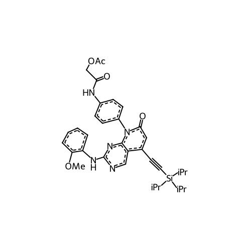 COc1ccccc1Nc1ncc2c(C#C[Si](C(C)C)(C(C)C)C(C)C)cc(=O)n(-c3ccc(NC(=O)COC(C)=O)cc3)c2n1